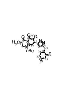 CCCCN1CN(C)C(=O)c2c(O)c(=O)c(-c3nnc(Cc4ccc(F)cc4F)s3)cn21